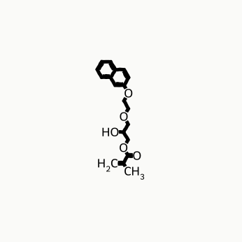 C=C(C)C(=O)OCC(O)COCCOc1ccc2ccccc2c1